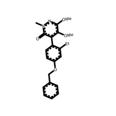 CCc1cc(OCc2ccccc2)ccc1-c1c(OC)c(OC)nn(C)c1=O